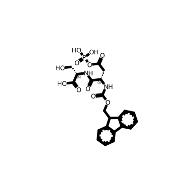 O=C(C[C@H](NC(=O)OCC1c2ccccc2-c2ccccc21)C(=O)N[C@@H](CO)C(=O)O)OP(=O)(O)O